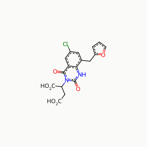 O=C(O)CC(C(=O)O)n1c(=O)[nH]c2c(Cc3ccco3)cc(Cl)cc2c1=O